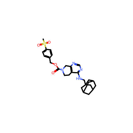 CS(=O)(=O)c1ccc(COC(=O)N2CCc3c(ncnc3NCC34CC5CC(CC(C5)C3)C4)C2)cc1